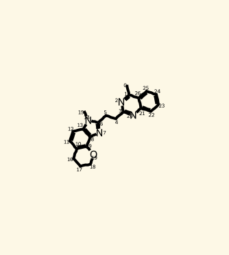 Cc1nc(CCc2nc3c4c(ccc3n2C)CCCO4)nc2ccccc12